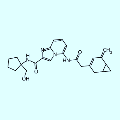 C=C1C=C(CC(=O)Nc2cccc3nc(C(=O)NC4(CO)CCCC4)cn23)CC2CC12